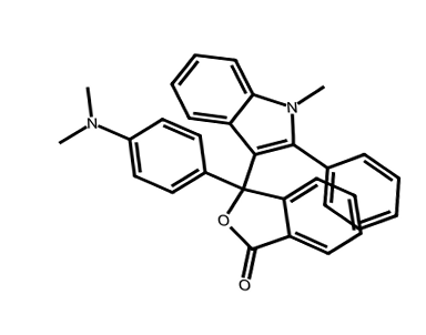 CN(C)c1ccc(C2(c3c(-c4ccccc4)n(C)c4ccccc34)OC(=O)c3ccccc32)cc1